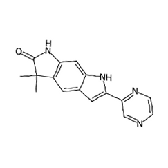 CC1(C)C(=O)Nc2cc3[nH]c(-c4cnccn4)cc3cc21